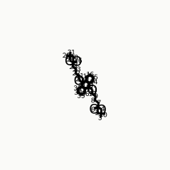 CC(C)(C)OC(=O)CCCCOc1c2ccccc2c(OCCCCC(=O)OC(C)(C)C)c2ccccc12